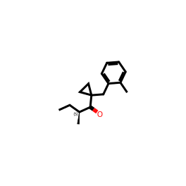 CC[C@H](C)C(=O)C1(Cc2ccccc2C)CC1